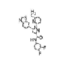 Cc1cccc(-n2nc(C(=O)Nc3ccc(F)c(F)c3)cc2-c2ccc3ncsc3c2)n1